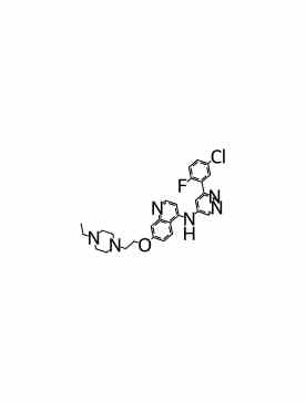 CCN1CCN(CCOc2ccc3c(Nc4cnnc(-c5cc(Cl)ccc5F)c4)ccnc3c2)CC1